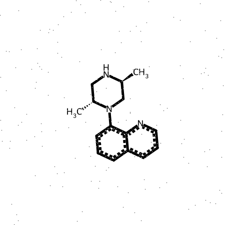 C[C@@H]1CN[C@@H](C)CN1c1cccc2cccnc12